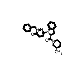 C[C@H]1CCCN(C(=O)[C@@H]2Cc3ccccc3N2c2ccc(=O)n(Cc3ccccc3)n2)C1